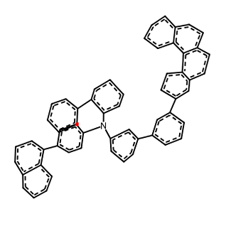 c1ccc(-c2ccccc2N(c2ccc(-c3cccc4ccccc34)cc2)c2cccc(-c3cccc(-c4ccc5c(ccc6ccc7ccccc7c65)c4)c3)c2)cc1